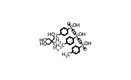 CC(CO)(CO)CO.Cc1ccc(S(=O)(=O)O)cc1.Cc1ccc(S(=O)(=O)O)cc1.Cc1ccc(S(=O)(=O)O)cc1